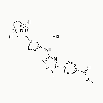 COC(=O)c1ccc(-c2nc(Nc3cnn(C4C[C@H]5CC[C@@H](C4)N5)c3)ncc2C)cc1.Cl